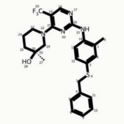 Cc1cc(SCc2ccccc2)ccc1Nc1ncc(C(F)(F)F)c(N2CCC[C@](C)(O)C2)n1